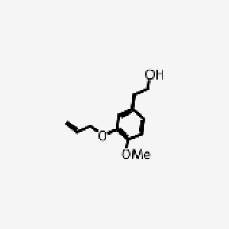 C=CCOc1cc(CCO)ccc1OC